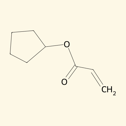 C=CC(=O)OC1CCCC1